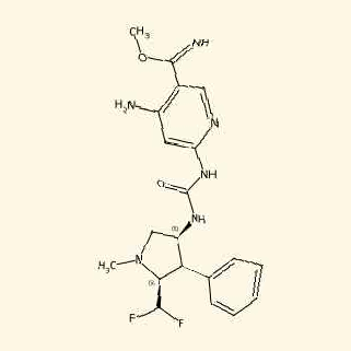 COC(=N)c1cnc(NC(=O)N[C@@H]2CN(C)[C@H](C(F)F)C2c2ccccc2)cc1N